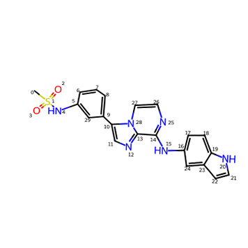 CS(=O)(=O)Nc1cccc(-c2cnc3c(Nc4ccc5[nH]ccc5c4)nccn23)c1